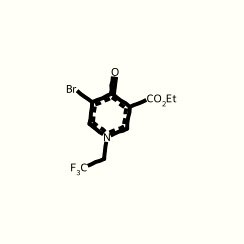 CCOC(=O)c1cn(CC(F)(F)F)cc(Br)c1=O